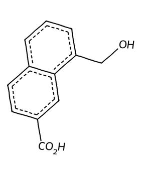 O=C(O)c1ccc2cccc(CO)c2c1